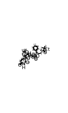 CCC(C)(C)C(=O)SCCOP(=O)(NCc1ccccc1)OC[C@H]1O[C@@H](n2ccc(=O)[nH]c2=O)[C@]2(C)OC(C)(C)O[C@H]12